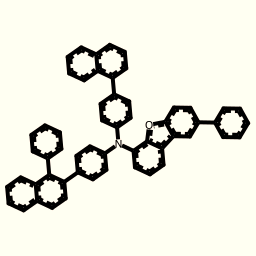 c1ccc(-c2ccc3oc4c(N(c5ccc(-c6ccc7ccccc7c6-c6ccccc6)cc5)c5ccc(-c6cccc7ccccc67)cc5)cccc4c3c2)cc1